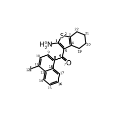 Nc1sc2c(c1C(=O)c1ccc(I)c3ccccc13)CCCC2